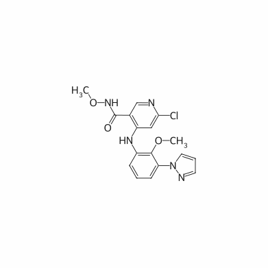 CONC(=O)c1cnc(Cl)cc1Nc1cccc(-n2cccn2)c1OC